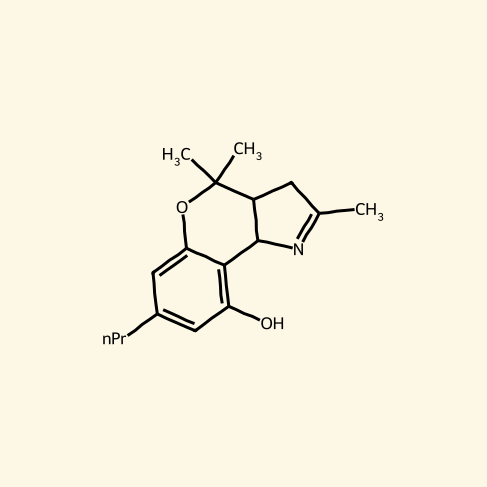 CCCc1cc(O)c2c(c1)OC(C)(C)C1CC(C)=NC21